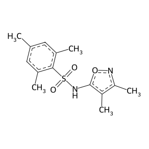 Cc1cc(C)c(S(=O)(=O)Nc2onc(C)c2C)c(C)c1